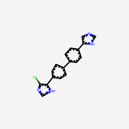 Clc1nc[nH]c1-c1ccc(-c2ccc(-c3cnc[nH]3)cc2)cc1